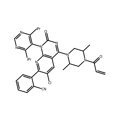 C=CC(=O)N1CC(C)N(c2nc(=O)n(-c3c(C(C)C)ncnc3C(C)C)c3nc(-c4ccccc4C#N)c(Cl)cc23)CC1C